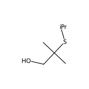 CC(C)SC(C)(C)CO